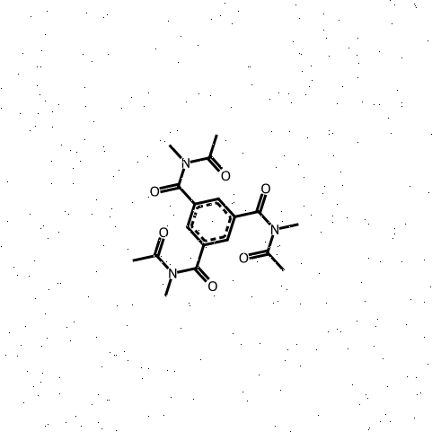 CC(=O)N(C)C(=O)c1cc(C(=O)N(C)C(C)=O)cc(C(=O)N(C)C(C)=O)c1